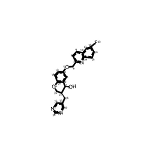 O[C@@H]1c2cc(OCc3ccc4cc(F)ccc4n3)ccc2OC[C@@H]1Cc1cncnc1